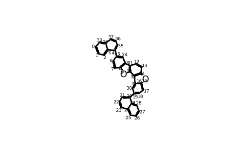 c1ccc2c(-c3ccc4oc5c(ccc6oc7ccc(-c8cccc9ccccc89)cc7c65)c4c3)cccc2c1